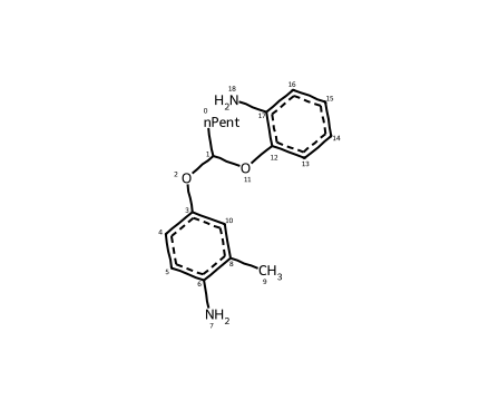 CCCCCC(Oc1ccc(N)c(C)c1)Oc1ccccc1N